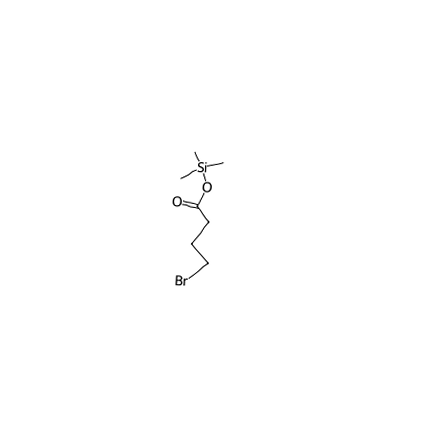 C[Si](C)(C)OC(=O)CCCBr